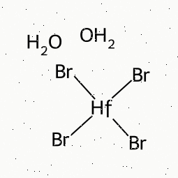 O.O.[Br][Hf]([Br])([Br])[Br]